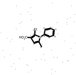 CCc1c(C(=O)O)cc(C)n1-c1ccccc1